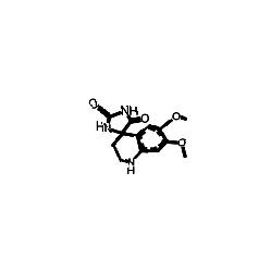 COc1cc2c(cc1OC)C1(CCN2)NC(=O)NC1=O